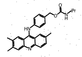 Cc1ccc2nc3cc(C)c(C)cc3c(Nc3ccc(COC(=O)NC(C)C)cc3)c2c1